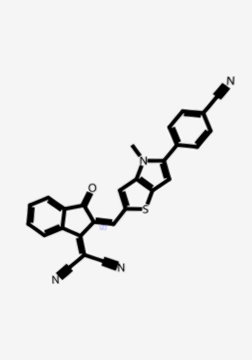 Cn1c(-c2ccc(C#N)cc2)cc2sc(/C=C3\C(=O)c4ccccc4C3=C(C#N)C#N)cc21